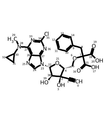 C#C[C@@]1(O)[C@@H](COC(Cc2ccccc2)(C(=O)O)C(=O)O)O[C@@H](n2cnc3c(N(C)C4CC4)nc(Cl)nc32)[C@@H]1O